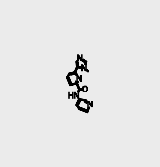 Cn1cncc1-c1cccc(C(=O)Nc2cccnc2)n1